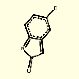 O=C1C=c2cc(Cl)ccc2=N1